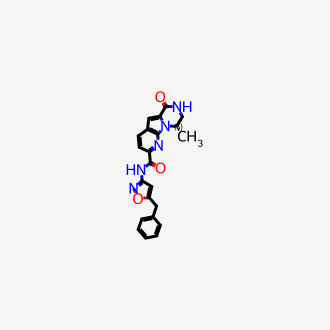 C[C@H]1CNC(=O)c2cc3ccc(C(=O)Nc4cc(Cc5ccccc5)on4)nc3n21